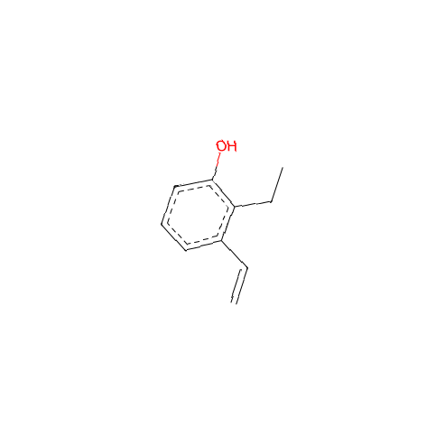 C=Cc1cccc(O)c1CC